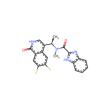 C[C@H](c1c[nH]c(=O)c2cc(F)c(F)cc12)N(C)C(=O)c1nc2ccccc2[nH]1